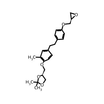 Cc1cc(CCc2ccc(OC[C@H]3CO3)cc2)ccc1OC[C@H]1COC(C)(C)O1